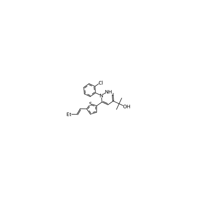 C=C(/C=C(/c1ccc(/C=C/CC)s1)N(N)c1ccccc1Cl)C(C)(C)O